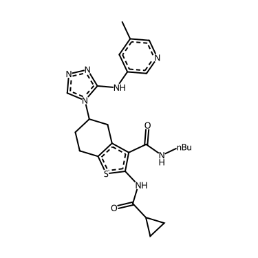 CCCCNC(=O)c1c(NC(=O)C2CC2)sc2c1CC(n1cnnc1Nc1cncc(C)c1)CC2